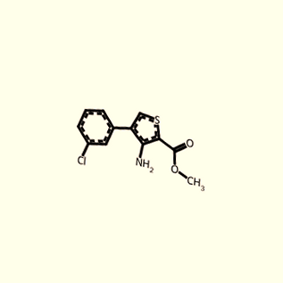 COC(=O)c1scc(-c2cccc(Cl)c2)c1N